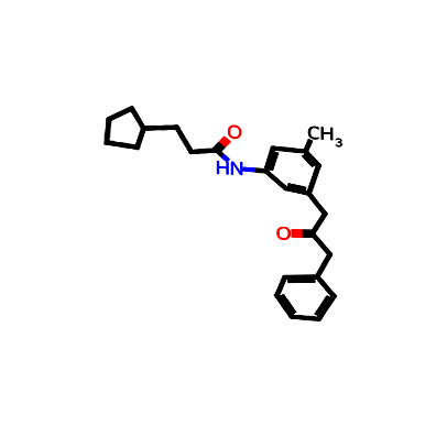 Cc1cc(CC(=O)Cc2ccccc2)cc(NC(=O)CCC2CCCC2)c1